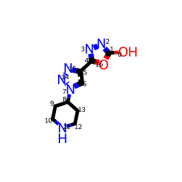 Oc1nnc(-c2cn(C3CCNCC3)nn2)o1